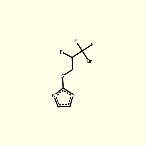 FC(CSc1nccs1)C(F)(F)Br